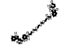 O=C(COc1cccc2c1C(=O)N(C1CCC(=O)NC1=O)C2=O)NCCOCCOCCOCCOCCC(=O)Nc1cccc(Nc2cc(-c3c[nH]c4ccccc34)ncn2)c1